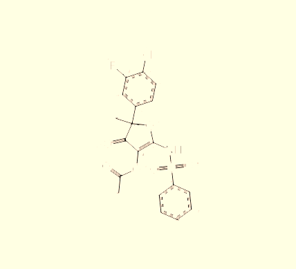 CC(=O)OC1=C(NS(=O)(=O)c2ccccc2)OC(C)(c2ccc(Cl)c(F)c2)C1=O